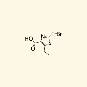 CCc1sc(CBr)nc1C(=O)O